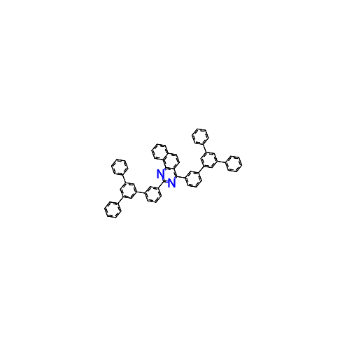 c1ccc(-c2cc(-c3ccccc3)cc(-c3cccc(-c4nc(-c5cccc(-c6cc(-c7ccccc7)cc(-c7ccccc7)c6)c5)c5ccc6ccccc6c5n4)c3)c2)cc1